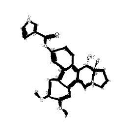 COc1cc2c3c(c4ccc(OC(=O)c5ccoc5)cc4c2cc1OC)[C@H](O)[C@@H]1CCCN1C3